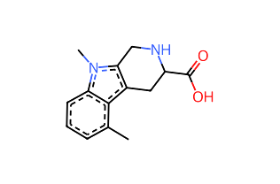 Cc1cccc2c1c1c(n2C)CNC(C(=O)O)C1